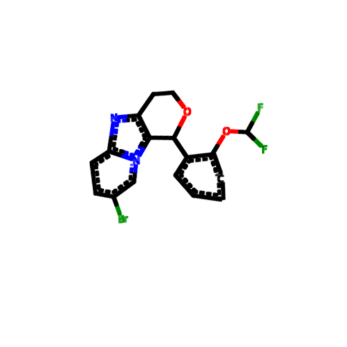 FC(F)Oc1ccccc1C1OCCc2nc3ccc(Br)cn3c21